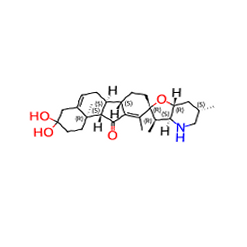 CC1=C2C(=O)[C@H]3[C@@H](CC=C4CC(O)(O)CC[C@@]43C)[C@@H]2CC[C@]12O[C@@H]1C[C@H](C)CN[C@H]1[C@H]2C